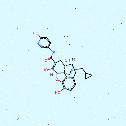 O=C(Nc1ccc(O)nc1)C1=C(O)[C@@H]2Oc3c(O)ccc4c3[C@@]23CCN(CC2CC2)[C@H](C4)[C@]3(O)C1